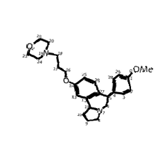 COc1ccc(C2CN3CCCC3c3cc(OCCCN4CCOCC4)ccc32)cc1